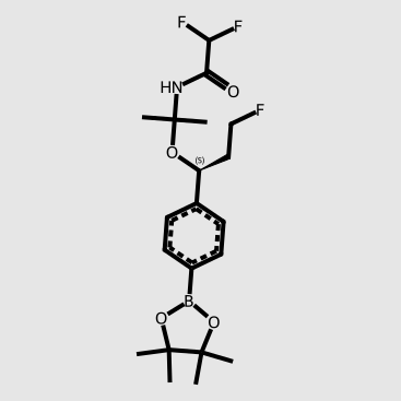 CC(C)(NC(=O)C(F)F)O[C@@H](CCF)c1ccc(B2OC(C)(C)C(C)(C)O2)cc1